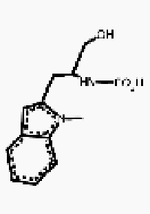 Cn1c(C[C@@H](CO)NC(=O)O)cc2ccccc21